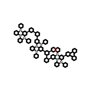 c1ccc(-c2cc(-c3cc4c5c(c3)N(c3ccccc3)c3cc(-c6cccc(-c7cccc(-c8cc9c%10c(c8)N(c8ccccc8)c8ccccc8B%10c8ccccc8N9c8ccccc8)c7)c6)ccc3B5c3ccccc3N4c3ccccc3)cc(-c3ccccc3-c3ccc4c(c3)B3c5ccccc5N(c5ccccc5)c5cc(-c6ccc7c8ccccc8c8ccccc8c7c6)cc(c53)N4c3ccccc3)c2)cc1